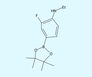 CCNc1ccc(B2OC(C)(C)C(C)(C)O2)cc1F